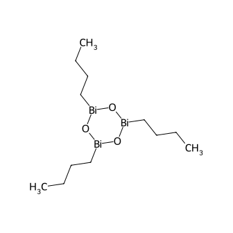 CCC[CH2][Bi]1[O][Bi]([CH2]CCC)[O][Bi]([CH2]CCC)[O]1